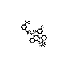 CC(=O)c1cccc(CONC(=O)[C@H]2c3ccccc3C(=O)N([C@@H]3CCCC[C@H]3NS(C)(=O)=O)[C@@H]2c2ccc(Cl)cc2Cl)c1